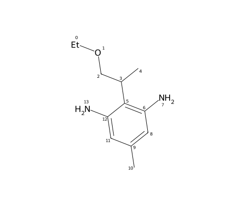 CCOCC(C)c1c(N)cc(C)cc1N